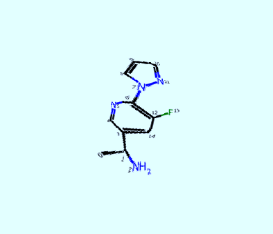 C[C@H](N)c1cnc(-n2cccn2)c(F)c1